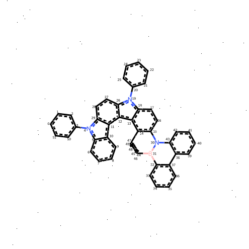 c1ccc(-n2c3ccccc3c3c4c5c6c(ccc5n(-c5ccccc5)c4ccc32)N2B(c3ccccc3-c3ccccc32)c2ccccc2-6)cc1